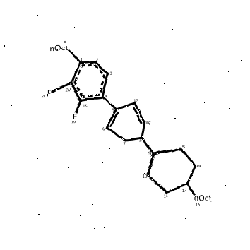 CCCCCCCCc1ccc(C2=CCC(C3CCC(CCCCCCCC)CC3)C=C2)c(F)c1F